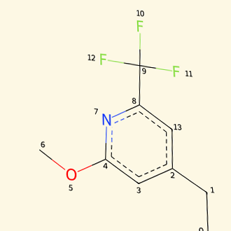 CCc1cc(OC)nc(C(F)(F)F)c1